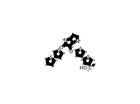 CC(=O)O.O=c1nc2ccnc-2c1=O.c1ccsc1.c1ccsc1.c1ccsc1.c1ccsc1